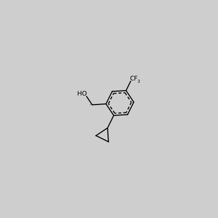 O[CH]c1cc(C(F)(F)F)ccc1C1CC1